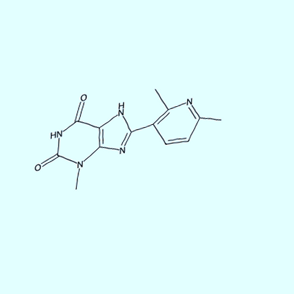 Cc1ccc(-c2nc3c([nH]2)c(=O)[nH]c(=O)n3C)c(C)n1